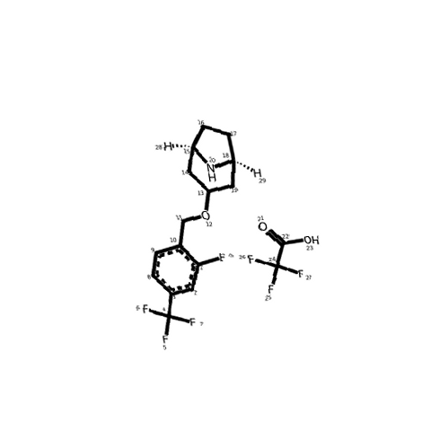 Fc1cc(C(F)(F)F)ccc1COC1C[C@H]2CC[C@@H](C1)N2.O=C(O)C(F)(F)F